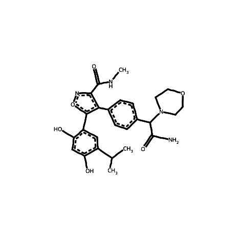 CNC(=O)c1noc(-c2cc(C(C)C)c(O)cc2O)c1-c1ccc(C(C(N)=O)N2CCOCC2)cc1